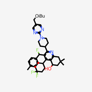 Cc1ccc(C(F)c2c(C3CCN(c4ncc(COCC(C)C)cn4)CC3)nc3c(c2C2CCC(F)(F)CC2)C(O)CC(C)(C)C3)cc1